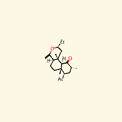 C=C1O[C@@H](CC)C[C@]2(C)[C@H]3C(=O)[C@H](C)C[C@@H](C(C)=O)[C@]3(C)CC[C@@H]12